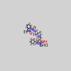 CCn1c(=O)n(C(=O)NCC2CCN(CC(OCc3ccccc3)C(O)NC=O)CC2)c2ccccc21